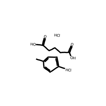 Cc1ccc(C)cc1.Cl.Cl.O=C(O)CCCC(=O)O